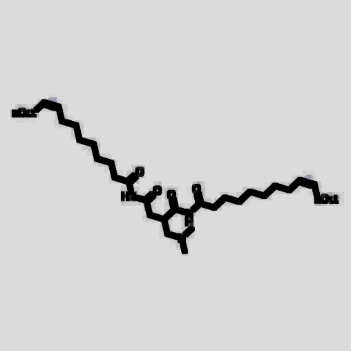 CCCCCCCC/C=C\CCCCCCCC(=O)NC(=O)CC(CN(C)C)C(=O)NC(=O)CCCCCCC/C=C\CCCCCCCC